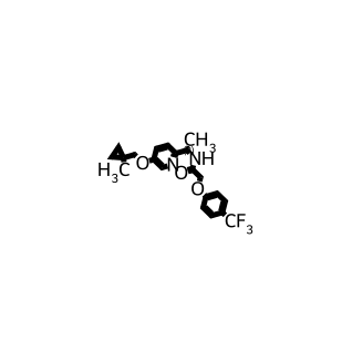 C[C@@H](NC(=O)COc1ccc(C(F)(F)F)cc1)c1ccc(OCC2(C)CC2)cn1